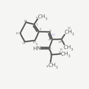 CC1=C(/C=C(\C(=N)C(C)C)C(C)C)CCCC1